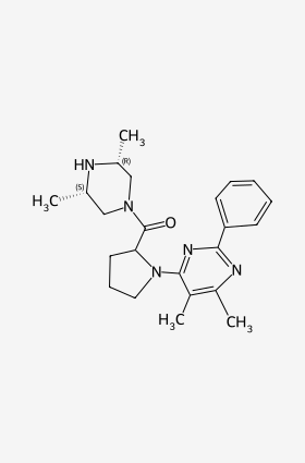 Cc1nc(-c2ccccc2)nc(N2CCCC2C(=O)N2C[C@@H](C)N[C@@H](C)C2)c1C